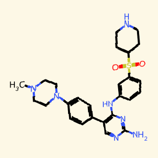 CN1CCN(c2ccc(-c3cnc(N)nc3Nc3cccc(S(=O)(=O)C4CCNCC4)c3)cc2)CC1